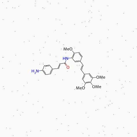 COc1ccc(/C=C/c2cc(OC)c(OC)c(OC)c2)cc1NC(=O)/C=C/c1ccc(N)cc1